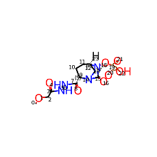 COCC(=O)NNC(=O)[C@@H]1CC[C@@H]2CN1C(=O)N2OS(=O)(=O)O